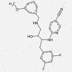 COc1cccc(CNCC(O)C(Cc2cc(F)cc(F)c2)Nc2ccc(C#N)cn2)c1